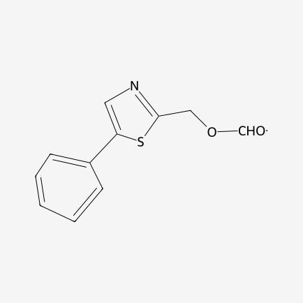 O=[C]OCc1ncc(-c2ccccc2)s1